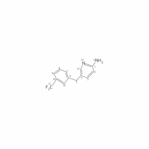 Nc1ccc(Cc2cccc(C(F)(F)F)c2)cn1